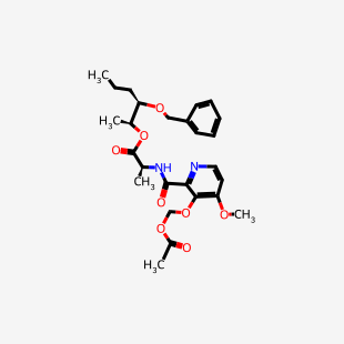 CCC[C@@H](OCc1ccccc1)[C@H](C)OC(=O)[C@H](C)NC(=O)c1nccc(OC)c1OCOC(C)=O